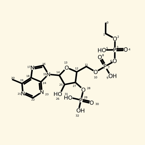 CCOP(=O)(O)OP(=O)(O)OCC1OC(n2cnc3c(C)ncnc32)C(O)C1OP(=O)(O)O